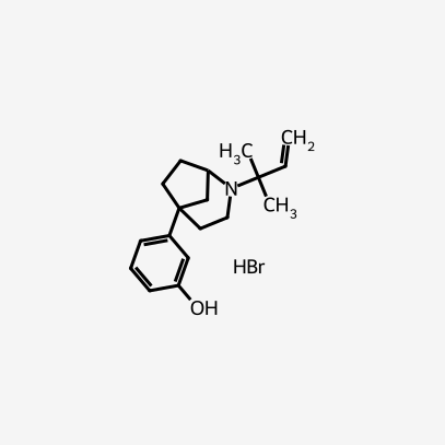 Br.C=CC(C)(C)N1CCC2(c3cccc(O)c3)CCC1C2